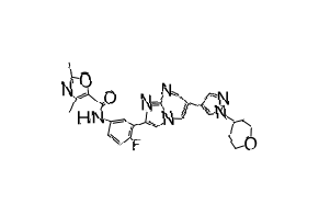 Cc1nc(C)c(C(=O)Nc2ccc(F)c(-c3cn4cc(-c5cnn(C6CCOCC6)c5)cnc4n3)c2)o1